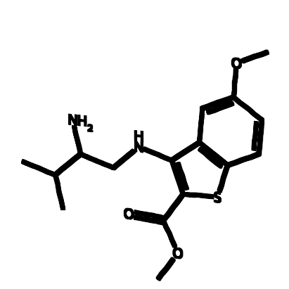 COC(=O)c1sc2ccc(OC)cc2c1NCC(N)C(C)C